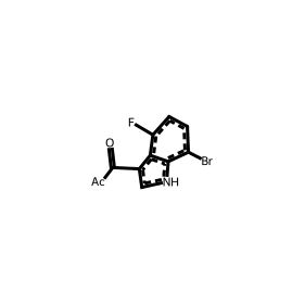 CC(=O)C(=O)c1c[nH]c2c(Br)ccc(F)c12